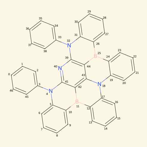 c1ccc(N2c3ccccc3B3c4ccccc4N4c5ccccc5B5c6ccccc6N(c6ccccc6)c6nc2c3c4c65)cc1